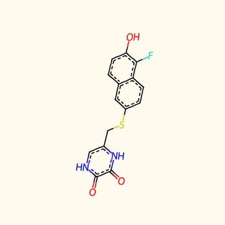 O=c1[nH]cc(CSc2ccc3c(F)c(O)ccc3c2)[nH]c1=O